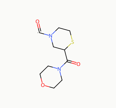 O=[C]N1CCSC(C(=O)N2CCOCC2)C1